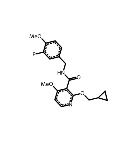 COc1ccc(CNC(=O)c2c(OC)ccnc2OCC2CC2)cc1F